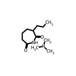 CCCC1CCCC(=O)NC1=O.CN(C)C